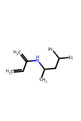 C=CC(=C)NC(C)CC(CC)C(C)C